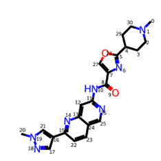 CN1CCC(c2nc(C(=O)Nc3cc4nc(-c5cnn(C)c5)ccc4cn3)co2)CC1